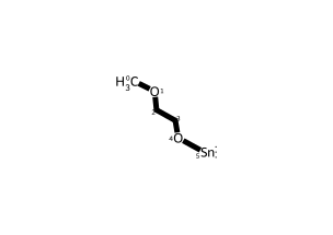 COCC[O][Sn]